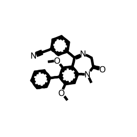 COc1cc2c(c(OC)c1-c1ccccc1)C(c1cccc(C#N)c1)=NCC(=O)N2C